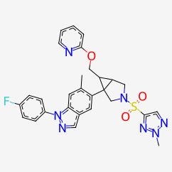 Cc1cc2c(cnn2-c2ccc(F)cc2)cc1C12CN(S(=O)(=O)c3cnn(C)n3)CC1C2COc1ccccn1